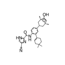 CC1(C)CC=C(c2cc(C3C[C@@]4(C)C[C@H](O)[C@@](C)(C3)O4)ccc2NC(=O)c2nc(C#N)c[nH]2)CC1